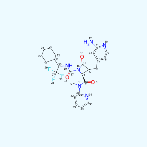 CN(C(=O)[C@@H]1C(Cc2ccnc(N)c2)C(=O)N1C(=O)N[C@@H](C1CCCCC1)C(F)(F)F)c1ccccn1